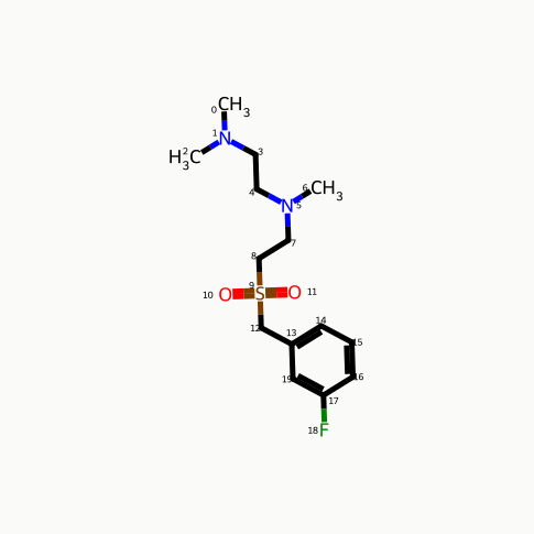 CN(C)CCN(C)CCS(=O)(=O)Cc1cccc(F)c1